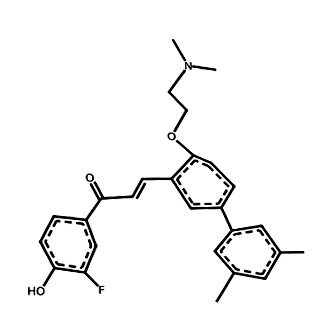 Cc1cc(C)cc(-c2ccc(OCCN(C)C)c(C=CC(=O)c3ccc(O)c(F)c3)c2)c1